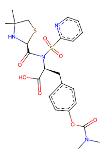 CN(C)C(=O)Oc1ccc(C[C@@H](C(=O)O)N(C(=O)[C@H]2NC(C)(C)CS2)S(=O)(=O)c2ccccn2)cc1